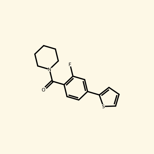 O=C(c1ccc(-c2cccs2)cc1F)N1CCCCC1